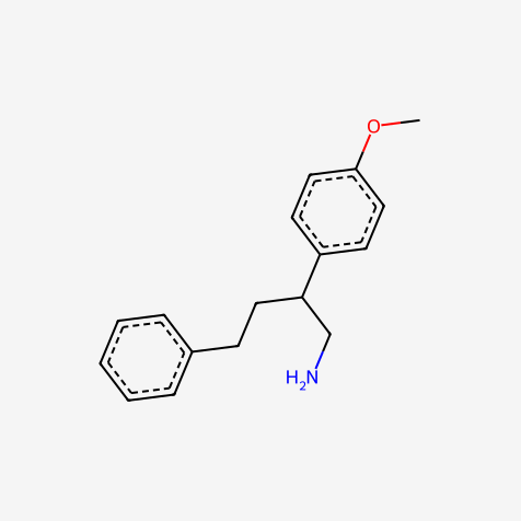 COc1ccc(C(CN)CCc2ccccc2)cc1